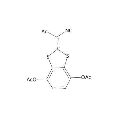 [C-]#[N+]C(C(C)=O)=C1Sc2c(OC(C)=O)ccc(OC(C)=O)c2S1